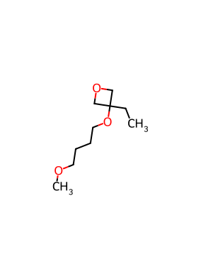 CCC1(OCCCCOC)COC1